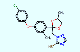 Cc1cc(Oc2ccc(Cl)cc2)ccc1C1(Cn2ncnc2S)OCC(C)O1